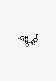 O=C(NCc1cccc(I)c1)C1C2Oc3ccc(F)cc3C21